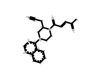 CC(=O)C=CC(=O)N1CCN(c2ncnc3ccccc23)CC1CC#N